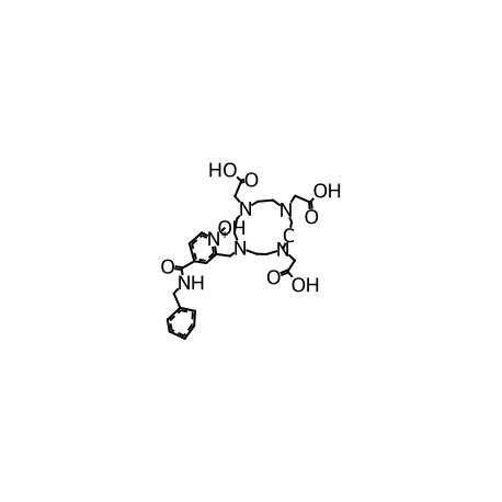 O=C(O)CN1CCN(CC(=O)O)CCN(Cc2cc(C(=O)NCc3ccccc3)cc[n+]2O)CCN(CC(=O)O)CC1